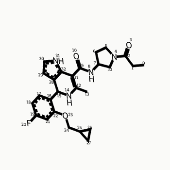 CCC(=O)N1CCC(NC(=O)C2=C(C)NC(c3ccc(F)cc3OCC3CC3)c3cc[nH]c32)C1